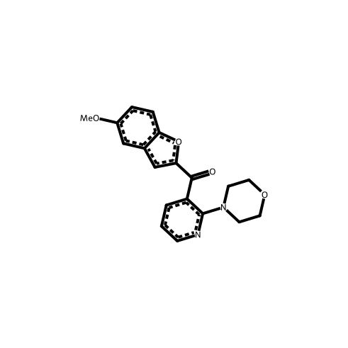 COc1ccc2oc(C(=O)c3cccnc3N3CCOCC3)cc2c1